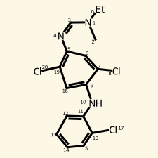 CCN(C)/C=N\c1cc(Cl)c(Nc2ccccc2Cl)cc1Cl